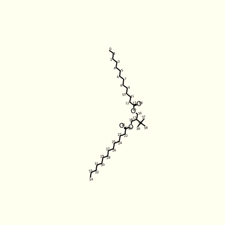 CCCCCCCCCCCCCC(=O)OCC(COC(=O)CCCCCCCCCCCCC)C(C)(C)C